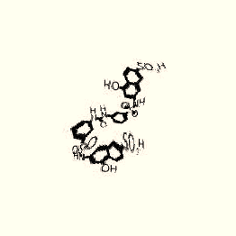 O=C(Nc1cccc(S(=O)(=O)Nc2cc(O)c3ccc(S(=O)(=O)O)cc3c2)c1)Nc1cccc(S(=O)(=O)Nc2cc(O)c3ccc(S(=O)(=O)O)cc3c2)c1